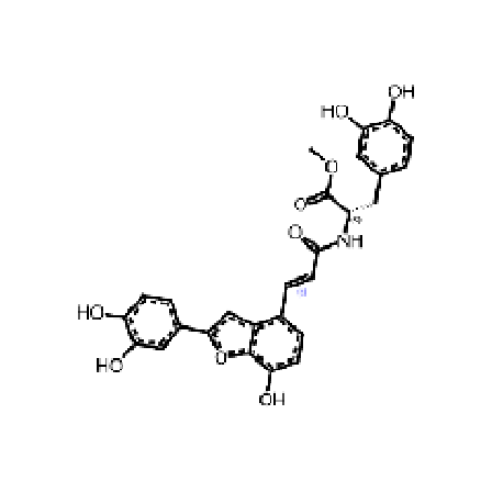 COC(=O)[C@H](Cc1ccc(O)c(O)c1)NC(=O)/C=C/c1ccc(O)c2oc(-c3ccc(O)c(O)c3)cc12